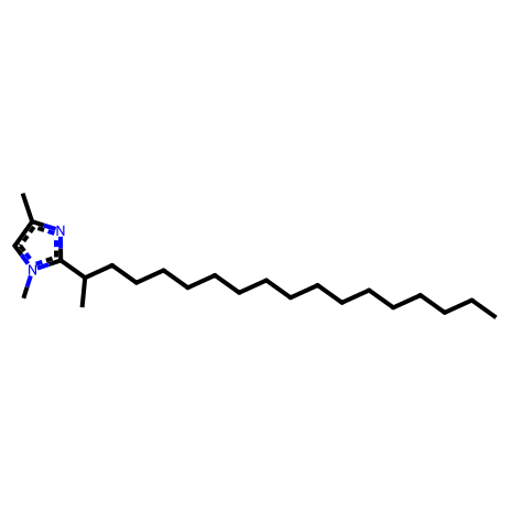 CCCCCCCCCCCCCCCCC(C)c1nc(C)cn1C